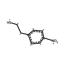 O=[N+]([O-])c1ccc(C[CH]S)cc1